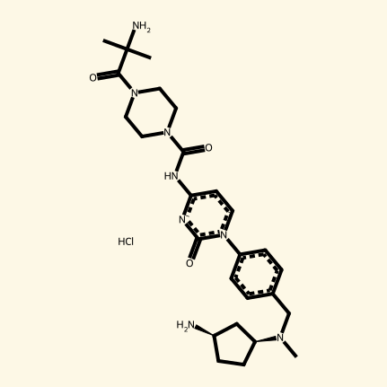 CN(Cc1ccc(-n2ccc(NC(=O)N3CCN(C(=O)C(C)(C)N)CC3)nc2=O)cc1)[C@H]1CC[C@@H](N)C1.Cl